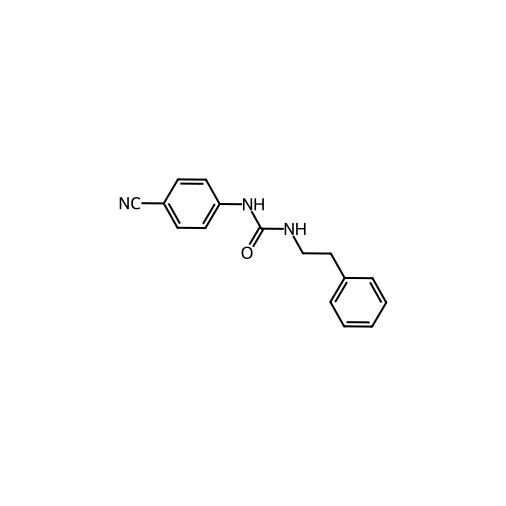 N#Cc1ccc(NC(=O)NCCc2ccccc2)cc1